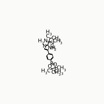 C[SiH2][C@@](N)(c1ncc(-c2ccc(B3OC(C)(C)C(C)(C)O3)cc2)[nH]1)C(C)C